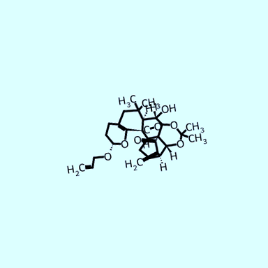 C=CCO[C@@H]1CCC2=C(O1)[C@@]13COC4(OC(C)(C)O[C@@H]5[C@H]6CC[C@@H]1[C@]54C(=O)C6=C)[C@@H](O)[C@@H]3C(C)(C)C2